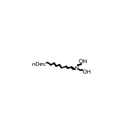 CCCCCCCCCCCCCCCCCCC=CN(CCO)CCO